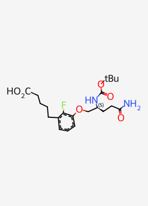 CC(C)(C)OC(=O)N[C@@H](CCC(N)=O)COc1cccc(CCCCC(=O)O)c1F